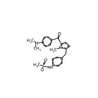 CN(C)c1ccc(C(=O)c2ccc(Cc3ccc(NS(C)(=O)=O)cc3)n2C)cc1